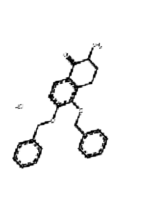 Cl.NC1CCc2c(ccc(OCc3ccccc3)c2OCc2ccccc2)C1=O